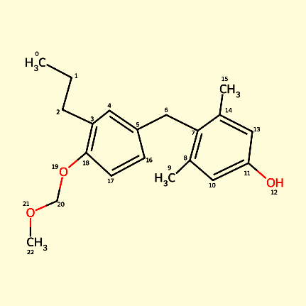 CCCc1cc(Cc2c(C)cc(O)cc2C)ccc1OCOC